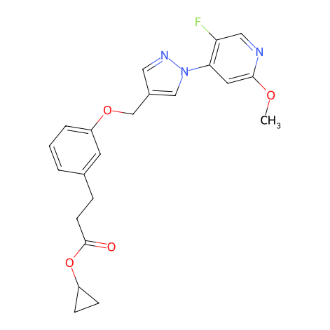 COc1cc(-n2cc(COc3cccc(CCC(=O)OC4CC4)c3)cn2)c(F)cn1